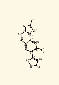 Cc1cc2ncc3cc(-c4cccs4)c(Cl)nc3n2n1